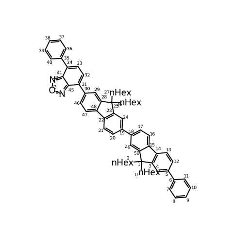 CCCCCCC1(CCCCCC)c2cc(-c3ccccc3)ccc2-c2ccc(-c3ccc4c(c3)C(CCCCCC)(CCCCCC)c3cc(-c5ccc(-c6ccccc6)c6nonc56)ccc3-4)cc21